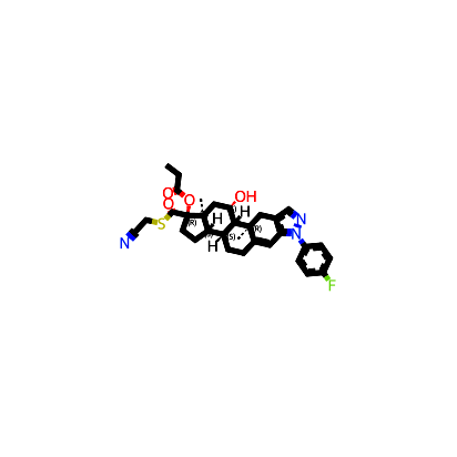 CCC(=O)O[C@]1(C(=O)SCC#N)CC[C@H]2[C@@H]3CCC4=Cc5c(cnn5-c5ccc(F)cc5)C[C@]4(C)[C@H]3[C@@H](O)C[C@@]21C